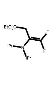 CCOC(=O)CC(=C(F)F)N(C(C)C)C(C)C